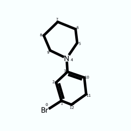 BrC1=CC(N2CCCCC2)=CC[CH]1